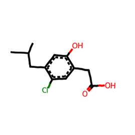 CC(C)Cc1cc(O)c(CC(=O)O)cc1Cl